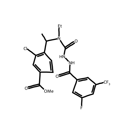 CCN(C(=O)NNC(=O)c1cc(F)cc(C(F)(F)F)c1)C(C)c1ccc(C(=O)OC)cc1Cl